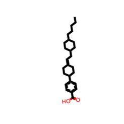 CCCCCC1CCC(CC=C2CCC(c3ccc(C(=O)O)cc3)CC2)CC1